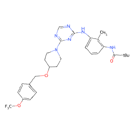 Cc1c(NC(=O)C(C)(C)C)cccc1Nc1ncnc(N2CCC(OCc3ccc(OC(F)(F)F)cc3)CC2)n1